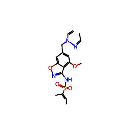 C=CN(Cc1cc(OC)c2c(NS(=O)(=O)/C(C)=C/C)noc2c1)/N=C\C